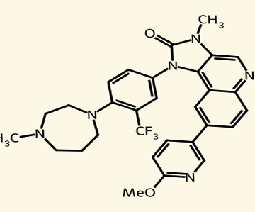 COc1ccc(-c2ccc3ncc4c(c3c2)n(-c2ccc(N3CCCN(C)CC3)c(C(F)(F)F)c2)c(=O)n4C)cn1